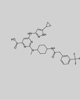 CN(c1nc(Nc2cc(C3CC3)[nH]n2)cc(C(=O)O)n1)C1CCC(NC(=O)Cc2cccc(C(F)(F)F)c2)CC1